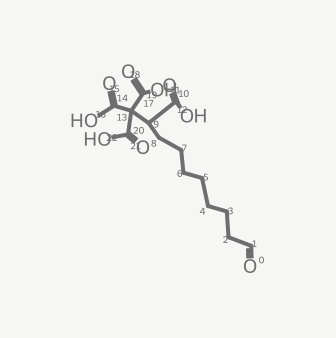 O=CCCCCCCCC(C(=O)O)C(C(=O)O)(C(=O)O)C(=O)O